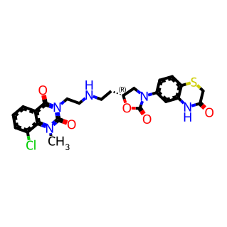 Cn1c(=O)n(CCNCC[C@@H]2CN(c3ccc4c(c3)NC(=O)CS4)C(=O)O2)c(=O)c2cccc(Cl)c21